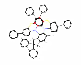 CC(C)(C)c1ccc2c(c1)C1(c3cc(C(C)(C)C)ccc3-2)C(C)(C)c2c(N3c4ccc(-c5ccccc5)cc4Sc4cc(-c5ccccc5)ccc43)c(N3c4ccc(-c5ccccc5)cc4Sc4cc(-c5ccccc5)ccc43)c(C#N)c(C(F)(F)F)c2C1(C)C